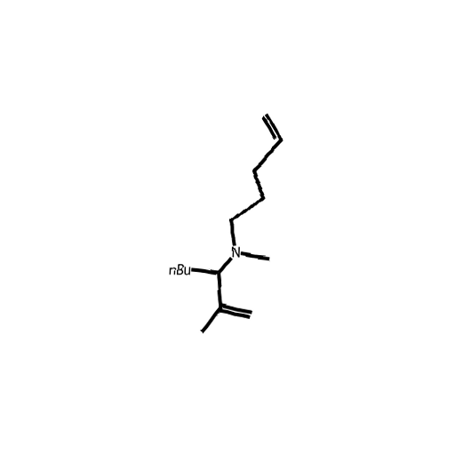 C=CCCCN(C)C(CCCC)C(=C)C